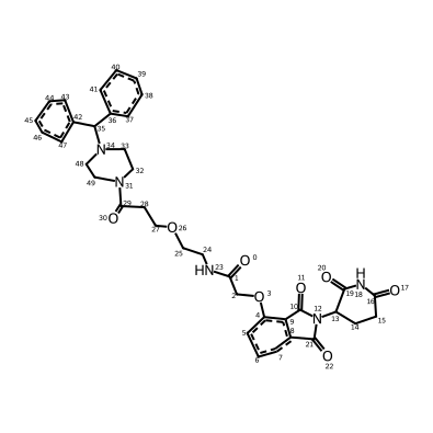 O=C(COc1cccc2c1C(=O)N(C1CCC(=O)NC1=O)C2=O)NCCOCCC(=O)N1CCN(C(c2ccccc2)c2ccccc2)CC1